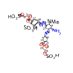 CNc1cc(N)c(/N=N/c2ccc(S(=O)(=O)CCOS(=O)(=O)O)cc2)cc1/N=N/c1ccc(S(=O)(=O)CCOS(=O)(=O)O)cc1S(=O)(=O)O